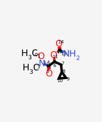 CON(C)C(=O)C(CC1CC1)OC(N)=O